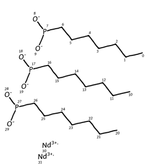 CCCCCCCP([O-])[O-].CCCCCCCP([O-])[O-].CCCCCCCP([O-])[O-].[Nd+3].[Nd+3]